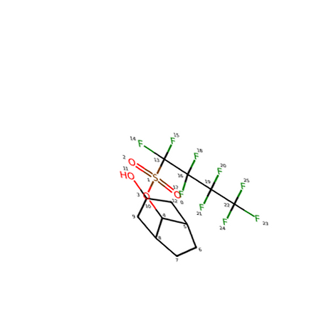 O=S(=O)(OC1C2CCC1CC(O)C2)C(F)(F)C(F)(F)C(F)(F)C(F)(F)F